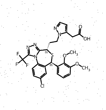 COc1cccc([C@@H]2S[C@@H](CCn3nccc3CC(=O)O)c3nnc(C(F)(F)F)n3-c3ccc(Cl)cc32)c1OC